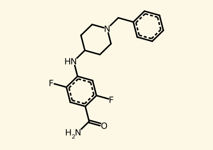 NC(=O)c1cc(F)c(NC2CCN(Cc3ccccc3)CC2)cc1F